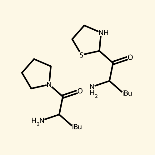 CCC(C)C(N)C(=O)C1NCCS1.CCC(C)C(N)C(=O)N1CCCC1